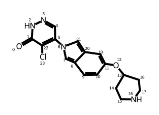 O=c1[nH]ncc(-n2cc3ccc(OC4CCNCC4)cc3c2)c1Cl